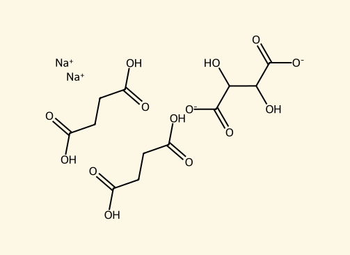 O=C(O)CCC(=O)O.O=C(O)CCC(=O)O.O=C([O-])C(O)C(O)C(=O)[O-].[Na+].[Na+]